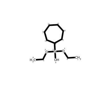 CCO[Si](O)(OCC)C1CCCCCC1